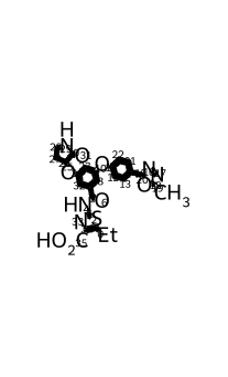 CCc1sc(NC(=O)c2cc(Oc3ccc(-c4nnc(C)o4)cc3)cc(O[C@H]3CCNC3=O)c2)nc1C(=O)O